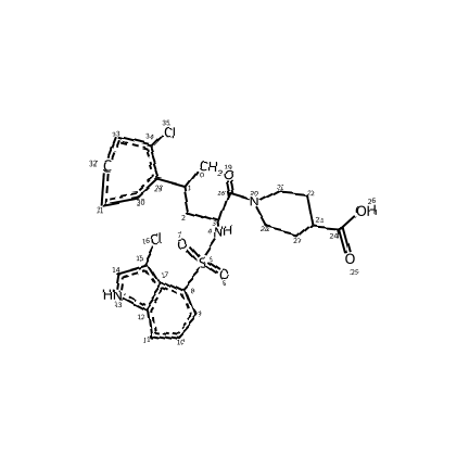 CC(CC(NS(=O)(=O)c1cccc2[nH]cc(Cl)c12)C(=O)N1CCC(C(=O)O)CC1)c1ccccc1Cl